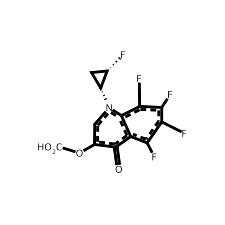 O=C(O)Oc1cn([C@@H]2C[C@@H]2F)c2c(F)c(F)c(F)c(F)c2c1=O